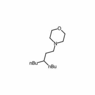 CCCCC(CCCC)CCN1CCOCC1